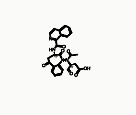 CC(=O)N([C@H](C=O)CC(=O)O)N1C(=O)[C@@H](NC(=O)c2nccc3ccccc23)CC(=O)c2ccccc21